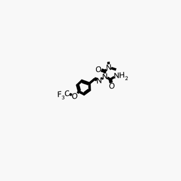 CN(C)C(=O)N(/N=C/c1ccc(OC(F)(F)F)cc1)C(N)=O